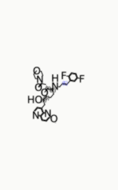 COc1ccc2nccc(C[C@H](O)[C@@H]3CC[C@@H](NC/C=C/c4cc(F)ccc4F)[C@@H](CC(=O)N4CCOCC4)O3)c2n1